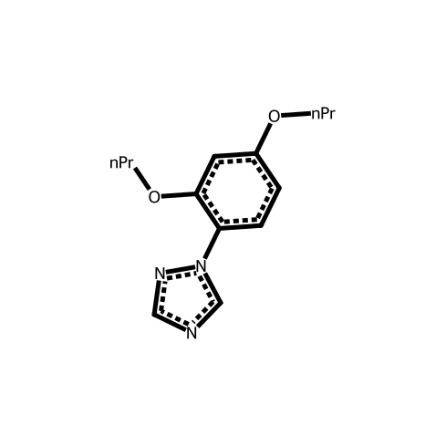 CCCOc1ccc(-n2cncn2)c(OCCC)c1